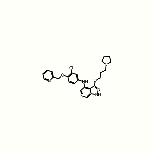 Clc1cc(Nc2cncc3[nH]nc(OCCCN4CCCC4)c23)ccc1OCc1ccccn1